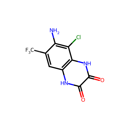 Nc1c(C(F)(F)F)cc2[nH]c(=O)c(=O)[nH]c2c1Cl